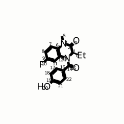 CC[C@@H]1C(=O)N(C)c2ccc(F)cc2N1C(=O)c1ccc(O)cc1